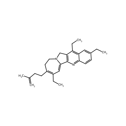 C=C(C)CCC1=C(CC)C=C2c3nc4ccc(CC)cc4c(CC)c3CN2CC1